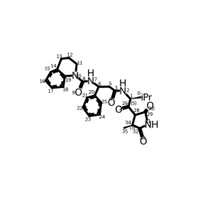 CC(C)[C@H](NC(=O)CC(NC(=O)N1CCCc2ccccc21)c1ccccc1)C(=O)C1C(=O)NC(=O)[C@H]1C